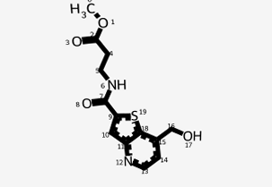 COC(=O)CCNC(=O)c1cc2nccc(CO)c2s1